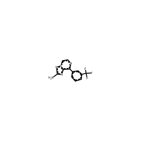 Nc1nc2c(-c3cccc(C(F)(F)F)c3)nccn2n1